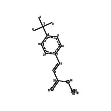 CC(C)(C)c1ccc(C=CC(=O)ON)cc1